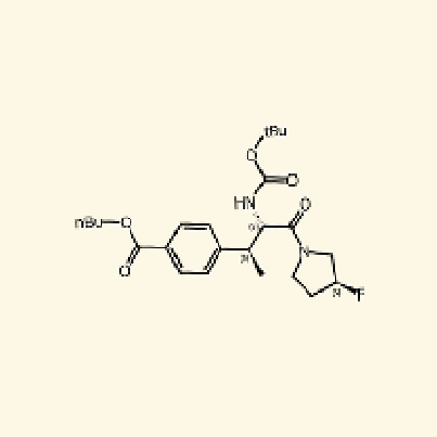 CCCCOC(=O)c1ccc([C@H](C)[C@H](NC(=O)OC(C)(C)C)C(=O)N2CC[C@H](F)C2)cc1